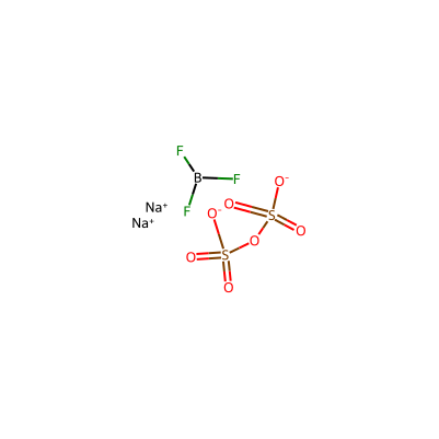 FB(F)F.O=S(=O)([O-])OS(=O)(=O)[O-].[Na+].[Na+]